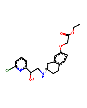 CCOC(=O)COc1ccc2c(c1)C[C@@H](NCC(O)c1cccc(Cl)n1)CC2